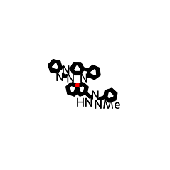 CN/C(=N\C(=N)c1cccc(-n2c3ccccc3c3ccc4c(c32)n(-c2ccccc2)c2nc3ccccc3n42)c1)c1ccccc1